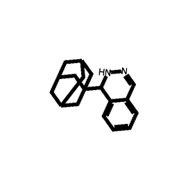 C1=NNC(C23CC4CC(CC(C4)C2)C3)c2ccccc21